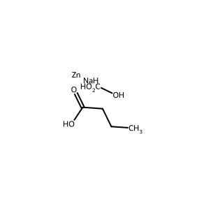 CCCC(=O)O.O=C(O)O.[NaH].[Zn]